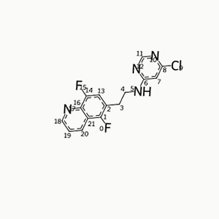 Fc1c(CCNc2cc(Cl)ncn2)cc(F)c2ncccc12